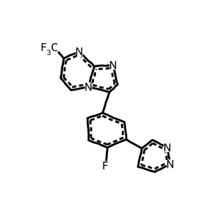 Fc1ccc(-c2cnc3nc(C(F)(F)F)ccn23)cc1-c1ccnnc1